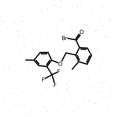 Cc1ccc(OCc2c(C)cccc2C(=O)Br)c(C(F)(F)F)c1